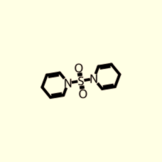 O=S(=O)(N1C=CCC=C1)N1C=CCC=C1